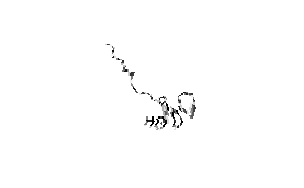 CCCCCCCCCOP(O)Oc1ccccc1